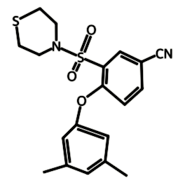 Cc1cc(C)cc(Oc2ccc(C#N)cc2S(=O)(=O)N2CCSCC2)c1